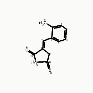 Cc1ccccc1C=C1CC(=O)NC1=O